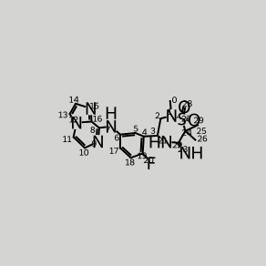 CN1CC(c2cc(Nc3nccn4ccnc34)ccc2F)NC(=N)C(C)(C)S1(=O)=O